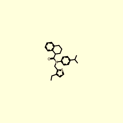 CCc1ccsc1CN(C(=O)C1CCCc2ccccc21)c1ccc(C(C)C)cc1